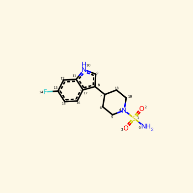 NS(=O)(=O)N1CCC(c2c[nH]c3cc(F)ccc23)CC1